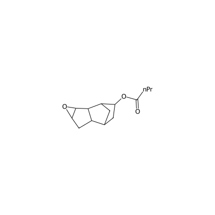 CCCC(=O)OC1CC2CC1C1C2CC2OC21